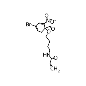 C=CC(=O)NCCCCOC1(C=O)CC=C(Br)C=C1[N+](=O)[O-]